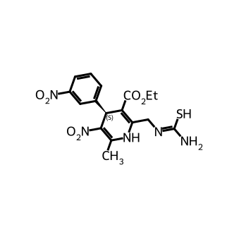 CCOC(=O)C1=C(CN=C(N)S)NC(C)=C([N+](=O)[O-])[C@H]1c1cccc([N+](=O)[O-])c1